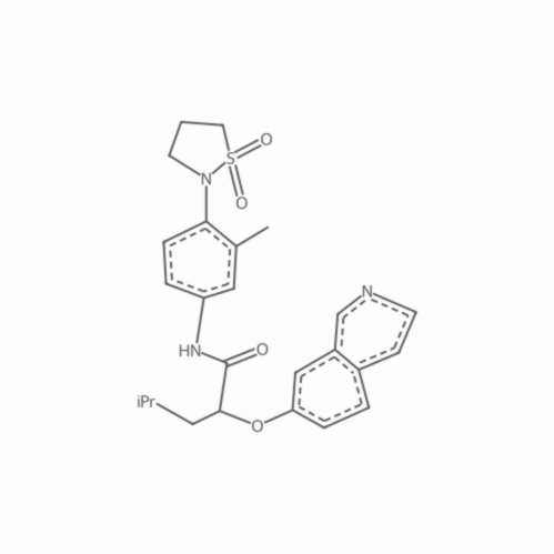 Cc1cc(NC(=O)C(CC(C)C)Oc2ccc3ccncc3c2)ccc1N1CCCS1(=O)=O